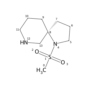 CS(=O)(=O)N1CCC[C@]12CCCNC2